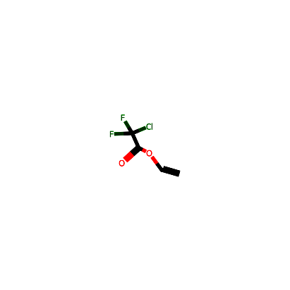 C=COC(=O)C(F)(F)Cl